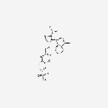 Cc1ccc(-n2c(SCC(=O)Nc3ccc(S(N)(=O)=O)cc3Cl)nnc2C(F)F)c2ccccc12